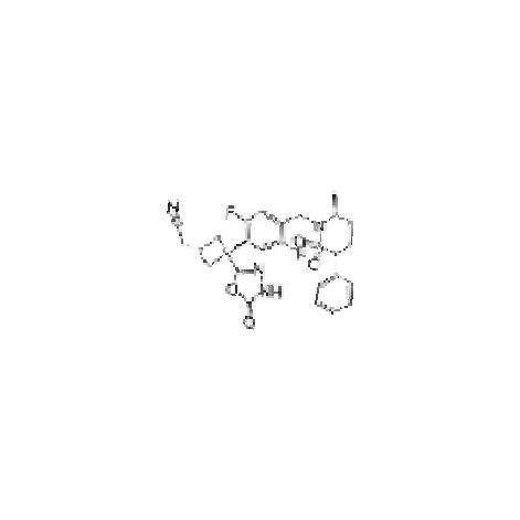 C[C@H]1CC[C@H](c2ccccc2)S(=O)(=O)N1Cc1cc(F)c([C@]2(c3n[nH]c(=O)o3)C[C@@H](CC#N)C2)cc1F